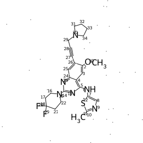 COc1cc2c(Nc3cnc(C)s3)nc(N3CCC(F)(F)CC3)nc2cc1C#CCN1CCCC1